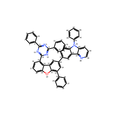 c1ccc(-c2nc(-c3ccccc3)nc(-c3cccc4oc5c(-c6ccccc6)cc(-c6ccc7c(c6)c6ncccc6n7-c6ccccc6)cc5c34)n2)cc1